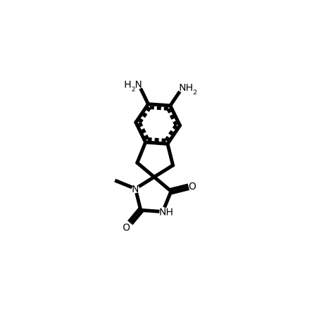 CN1C(=O)NC(=O)C12Cc1cc(N)c(N)cc1C2